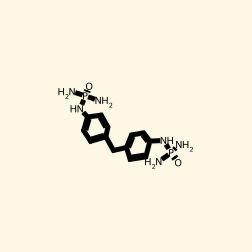 NP(N)(=O)Nc1ccc(Cc2ccc(NP(N)(N)=O)cc2)cc1